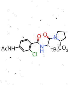 CC(=O)Nc1ccc(C(=O)N[C@H](C(=O)N2CCC[C@H]2C(=O)O)C(C)(C)C)c(Cl)c1